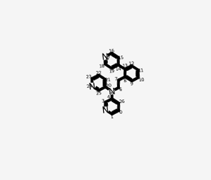 c1cncc(N(CCc2ccccc2-c2ccncc2)c2cccnc2)c1